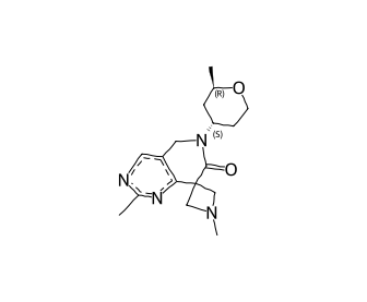 Cc1ncc2c(n1)C1(CN(C)C1)C(=O)N([C@H]1CCO[C@H](C)C1)C2